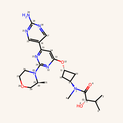 CC(C)[C@H](O)C(=O)N(C)[C@H]1C[C@H](Oc2cc(-c3cnc(N)nc3)nc(N3CCOC[C@@H]3C)n2)C1